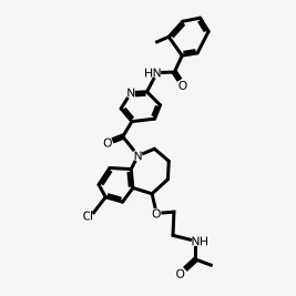 CC(=O)NCCOC1CCCN(C(=O)c2ccc(NC(=O)c3ccccc3C)nc2)c2ccc(Cl)cc21